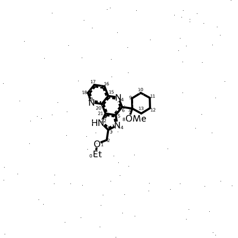 CCOCc1nc2c(C3(OC)CCCCC3)nc3cccnc3c2[nH]1